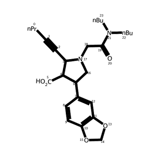 CCCC#CC1C(C(=O)O)C(c2ccc3c(c2)OCO3)CN1CC(=O)N(CCCC)CCCC